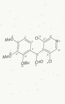 COc1ccc(C(C=O)c2c(Cl)cncc2Cl)c(OCC(C)C)c1OC